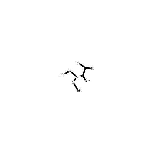 CCCO[SiH](OCCC)C(CCC)C(Cl)CC